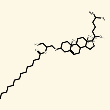 CCCCCCCCCCCCCCCC(=O)OC(CO)COC1CC[C@@]2(C)C(=CCC3C2CC[C@@]2(C)C3CC[C@@H]2[C@H](C)CCCC(C)C)C1